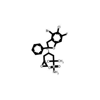 CC(C)(CC(CC1CO1)[C@]1(c2ccccc2)Cc2c(cc(F)c(Cl)c2Br)O1)S(N)(=O)=O